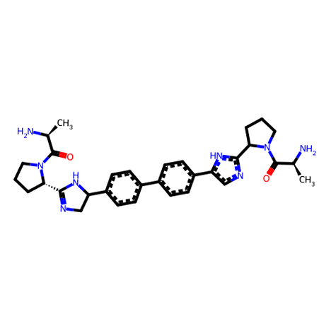 C[C@H](N)C(=O)N1CCCC1c1ncc(-c2ccc(-c3ccc(C4CN=C([C@@H]5CCCN5C(=O)[C@H](C)N)N4)cc3)cc2)[nH]1